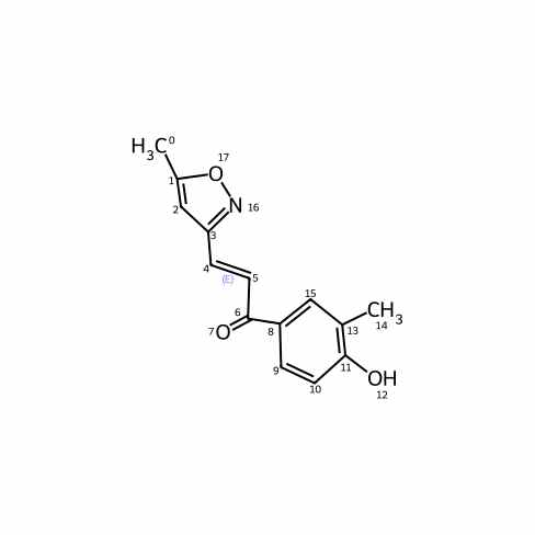 Cc1cc(/C=C/C(=O)c2ccc(O)c(C)c2)no1